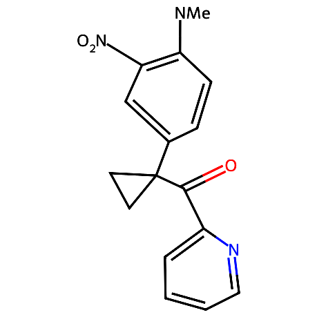 CNc1ccc(C2(C(=O)c3ccccn3)CC2)cc1[N+](=O)[O-]